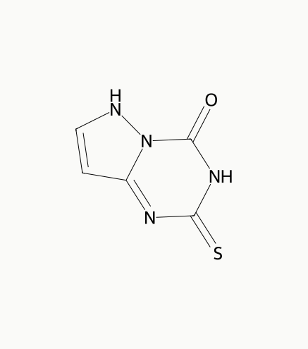 O=c1[nH]c(=S)nc2cc[nH]n12